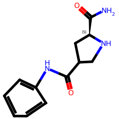 NC(=O)[C@@H]1CC(C(=O)Nc2ccccc2)CN1